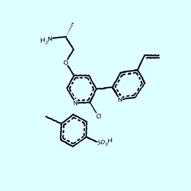 C=Cc1ccnc(-c2cc(OC[C@@H](C)N)cnc2Cl)c1.Cc1ccc(S(=O)(=O)O)cc1